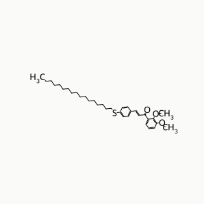 CCCCCCCCCCCCCCCCCSc1ccc(C=CC(=O)c2cccc(OC)c2OC)cc1